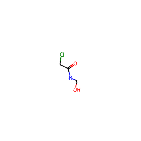 O=C(CCl)[N]CO